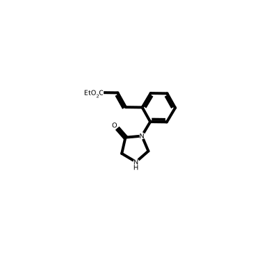 CCOC(=O)/C=C/c1ccccc1N1CNCC1=O